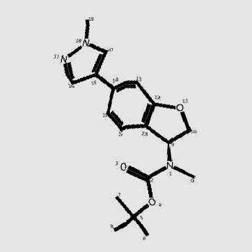 CN(C(=O)OC(C)(C)C)[C@@H]1COc2cc(-c3cnn(C)c3)ccc21